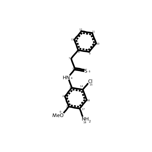 COc1cc(NC(=S)Cc2ccccc2)c(Cl)cc1N